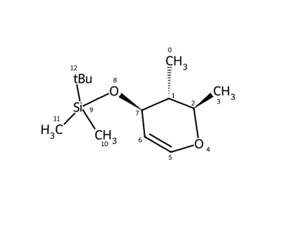 C[C@@H]1[C@@H](C)OC=C[C@H]1O[Si](C)(C)C(C)(C)C